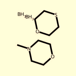 B.B.C1CSCCO1.CN1CCOCC1